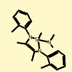 CC1=C(C)N(c2ccccc2C)[Si](C)(N(C)C)N1c1ccccc1C